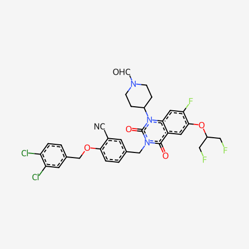 N#Cc1cc(Cn2c(=O)c3cc(OC(CF)CF)c(F)cc3n(C3CCN(C=O)CC3)c2=O)ccc1OCc1ccc(Cl)c(Cl)c1